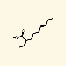 CC/C=C/CCCC(CC)C(=O)O